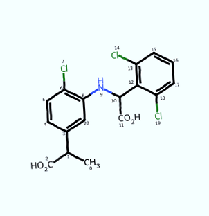 CC(C(=O)O)c1ccc(Cl)c(NC(C(=O)O)c2c(Cl)cccc2Cl)c1